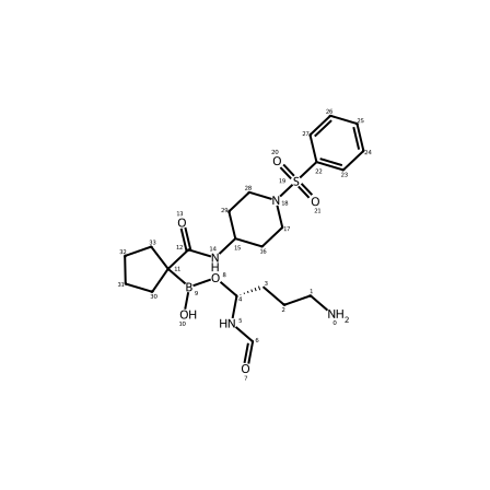 NCCC[C@H](NC=O)OB(O)C1(C(=O)NC2CCN(S(=O)(=O)c3ccccc3)CC2)CCCC1